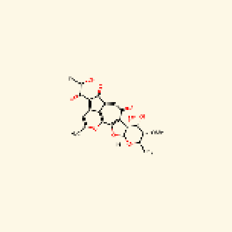 CCC(O)C(=O)C1=C2C=C(C)Oc3c4c(c(=O)cc(c32)C1=O)[C@]1(O)[C@H](O4)O[C@H](C)[C@@H](OC)[C@H]1O